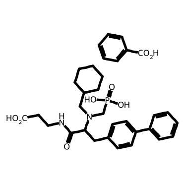 O=C(O)CCNC(=O)C(Cc1ccc(-c2ccccc2)cc1)N(CC1CCCCC1)CP(=O)(O)O.O=C(O)c1ccccc1